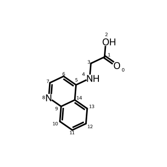 O=C(O)CNc1ccnc2ccccc12